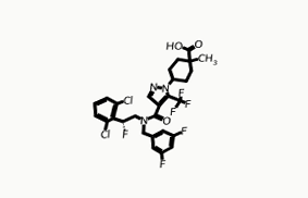 CC1(C(=O)O)CCC(n2ncc(C(=O)N(Cc3cc(F)cc(F)c3)C[C@H](F)c3c(Cl)cccc3Cl)c2C(F)(F)F)CC1